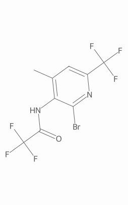 Cc1cc(C(F)(F)F)nc(Br)c1NC(=O)C(F)(F)F